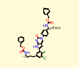 CCCCC[C@@H](NC(=O)OCc1ccccc1)c1ccc(-n2cc3cc(-c4cc(CCC[C@H](C)NC(=O)OCc5ccccc5)cc(Cl)c4F)[nH]c3nc2=O)cc1